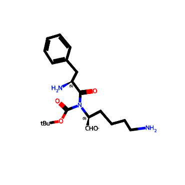 CC(C)(C)OC(=O)N(C(=O)[C@@H](N)Cc1ccccc1)[C@H]([C]=O)CCCCN